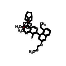 CCc1cccc2cc(OCOC)cc(-c3ncc4c(N5CC6CCC(C5)N6C(=O)OC(C)(C)C)ncnc4c3F)c12